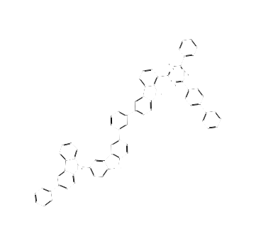 c1ccc(-c2ccc(-c3nc(-c4ccccc4)nc(-c4cccc5c4oc4ccc(-c6cccc(-c7ccc8oc9ccc(-n%10c%11ccccc%11c%11cc(-c%12ccccc%12)ccc%11%10)cc9c8c7)c6)cc45)n3)cc2)cc1